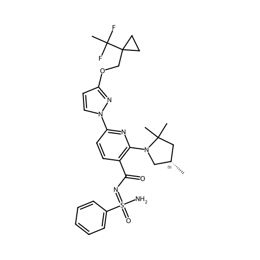 C[C@@H]1CN(c2nc(-n3ccc(OCC4(C(C)(F)F)CC4)n3)ccc2C(=O)N=S(N)(=O)c2ccccc2)C(C)(C)C1